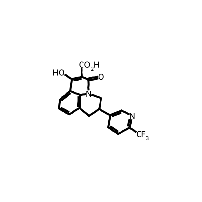 O=C(O)c1c(O)c2cccc3c2n(c1=O)CC(c1ccc(C(F)(F)F)nc1)C3